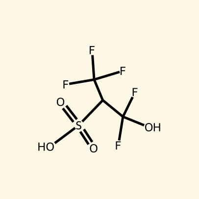 O=S(=O)(O)C(C(O)(F)F)C(F)(F)F